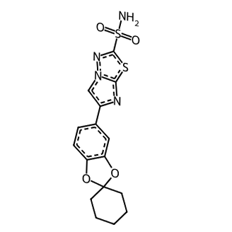 NS(=O)(=O)c1nn2cc(-c3ccc4c(c3)OC3(CCCCC3)O4)nc2s1